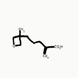 C=C(CCCC1(C)COC1)C(=O)O